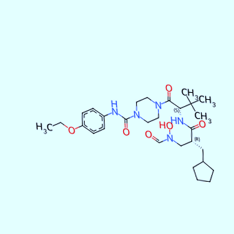 CCOc1ccc(NC(=O)N2CCN(C(=O)[C@@H](NC(=O)[C@H](CC3CCCC3)CN(O)C=O)C(C)(C)C)CC2)cc1